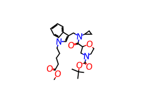 COC(=O)CCCCn1cc(CN(C(=O)C2CN(C(=O)OC(C)(C)C)CCO2)C2CC2)c2ccccc21